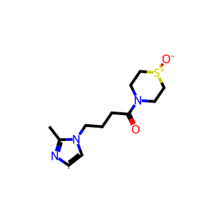 Cc1n[c]cn1CCCC(=O)N1CC[S+]([O-])CC1